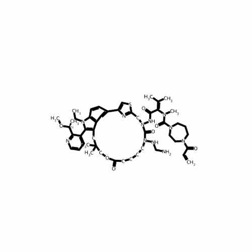 C=CC(=O)N1CCCN(C(=O)N(C)C(C(=O)NN2Cc3nc(cs3)-c3ccc4c(c3)c(c(-c3cccnc3[C@H](C)OC)n4CC)CC(C)(C)COC(=O)CCCCN(NCN)C2=O)=C(C)C)CC1